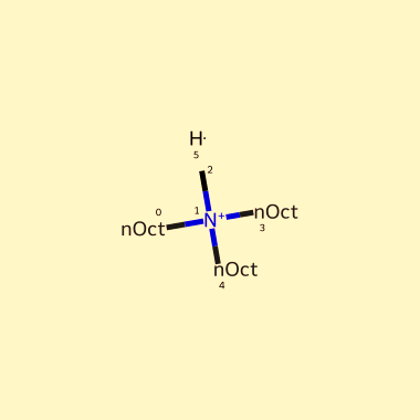 CCCCCCCC[N+](C)(CCCCCCCC)CCCCCCCC.[H]